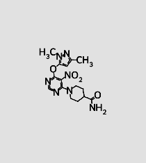 Cc1cc(Oc2ncnc(N3CCC(C(N)=O)CC3)c2[N+](=O)[O-])n(C)n1